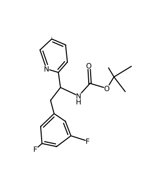 CC(C)(C)OC(=O)NC(Cc1cc(F)cc(F)c1)c1cc[c]cn1